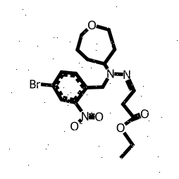 CCOC(=O)C/C=N\N(Cc1ccc(Br)cc1[N+](=O)[O-])C1CCCOCC1